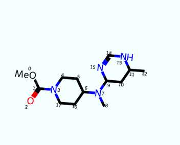 COC(=O)N1CCC(N(C)C2CC(C)NC=N2)CC1